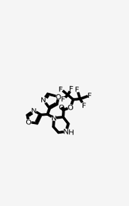 O=C(OC(C(F)(F)F)C(F)(F)F)C1CNCCN1C(c1cocn1)c1cocn1